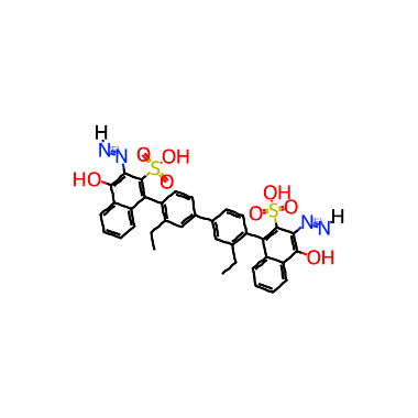 [H]/N=N/c1c(S(=O)(=O)O)c(-c2ccc(-c3ccc(-c4c(S(=O)(=O)O)c(/N=N/[H])c(O)c5ccccc45)c(CC)c3)cc2CC)c2ccccc2c1O